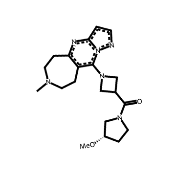 CO[C@H]1CCN(C(=O)C2CN(c3c4c(nc5ccnn35)CCN(C)CC4)C2)C1